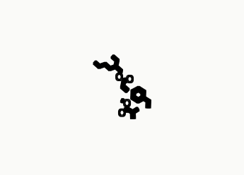 C=C(C)C(=O)OC.C=CC(=O)OCC(CC)CCCC.C=Cc1ccccc1